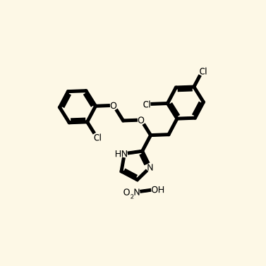 Clc1ccc(CC(OCOc2ccccc2Cl)c2ncc[nH]2)c(Cl)c1.O=[N+]([O-])O